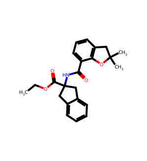 CCOC(=O)C1(NC(=O)c2cccc3c2OC(C)(C)C3)Cc2ccccc2C1